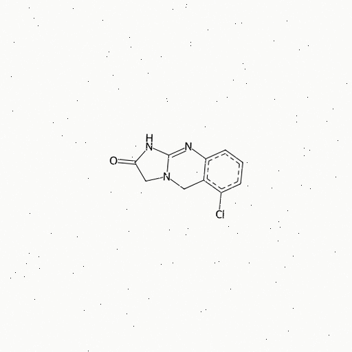 O=C1CN2Cc3c(Cl)cccc3N=C2N1